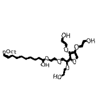 CCCCCCCC/C=C\CCCCCCCC(O)OCCOCC(OCCO)C1OCC(OCCO)C1OCCO